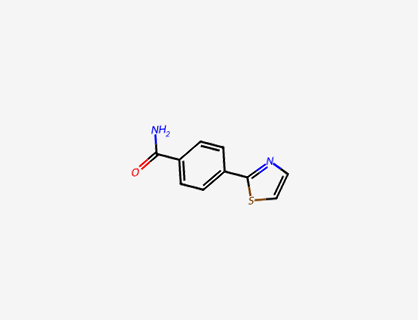 NC(=O)c1ccc(-c2nccs2)cc1